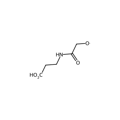 [O]CC(=O)NCCC(=O)O